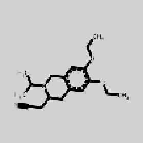 CCOc1cc2c(cc1OCC)CN(C(C)C)C(CC#N)C2